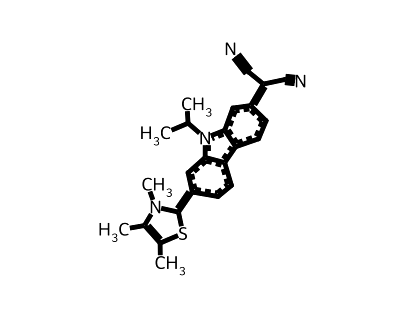 CC1=C(C)N(C)/C(=c2/ccc3c4ccc(=C(C#N)C#N)cc4n(C(C)C)c3c2)S1